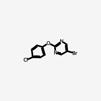 Clc1ccc(Oc2ncc(Br)cn2)cc1